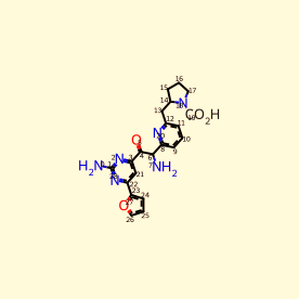 Nc1nc(C(=O)C(N)c2cccc(CC3CCCN3C(=O)O)n2)cc(-c2ccco2)n1